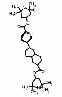 CC1(C)CC(OC(=O)c2ccc(C3CCC4CC(C(=O)OC5CC(C)(C)NC(C)(C)C5)CCC4C3)cn2)CC(C)(C)N1